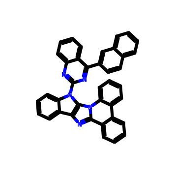 c1ccc2cc(-c3nc(-n4c5ccccc5c5nc6c7ccccc7c7ccccc7n6c54)nc4ccccc34)ccc2c1